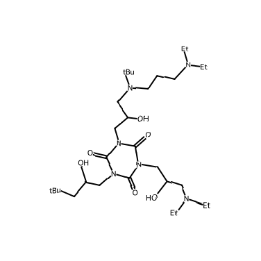 CCN(CC)CCCN(CC(O)Cn1c(=O)n(CC(O)CN(CC)CC)c(=O)n(CC(O)CC(C)(C)C)c1=O)C(C)(C)C